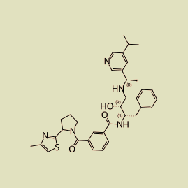 Cc1csc(C2CCCN2C(=O)c2cccc(C(=O)N[C@@H](Cc3ccccc3)[C@H](O)CN[C@H](C)c3cncc(C(C)C)c3)c2)n1